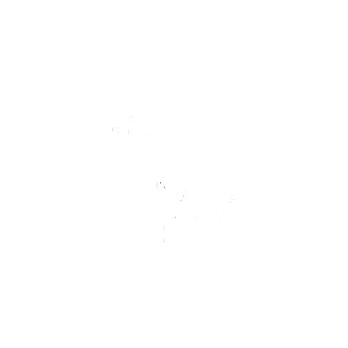 CC(C)(C)C(=O)c1ccc(CNCCC(C)(CF)C(=O)c2cccc(F)c2)cc1